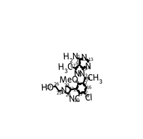 COc1c([C@@H](C)n2nc(C)c3c(N)ncnc32)cc(Cl)c(C#N)c1C1CN(CCO)C1